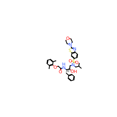 Cc1cccc(C)c1OCC(=O)N[C@@H](Cc1ccccc1)[C@H](O)CN(CC(C)C)S(=O)(=O)c1ccc2nc(N3CCOCC3)sc2c1